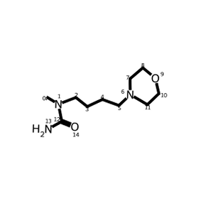 [CH2]N(CCCCN1CCOCC1)C(N)=O